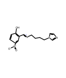 O=[N+]([O-])c1ccc(O)c(/C=N/CCCCn2ccnc2)c1